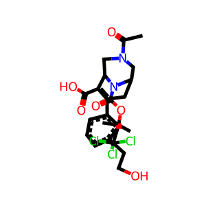 CC(=O)N1CC2CC(c3cccc(CCO)c3)=C(C(=O)O)C(C1)N2C(=O)OC(C)(C)C(Cl)(Cl)Cl